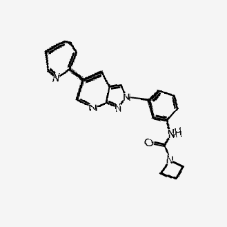 O=C(Nc1cccc(-n2cc3cc(-c4ccccn4)cnc3n2)c1)N1CCC1